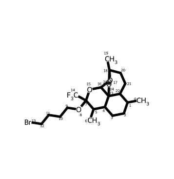 CC1CCC2C(C)C(OCCCCBr)(C(F)(F)F)OC3OC4(C)CCC1C32OO4